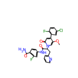 COc1cn(C(Cc2ccccn2)C(=O)Nc2ccc(C(N)=O)c(F)c2)c(=O)cc1-c1cc(Cl)ccc1F